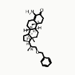 C[C@H](COCc1ccccc1)[C@H]1CC[C@H]2[C@@H]3CCC4=C(N)C(=O)CC[C@]4(C)[C@H]3CC[C@]12C